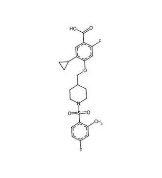 Cc1cc(F)ccc1S(=O)(=O)N1CCC(COc2cc(F)c(C(=O)O)cc2C2CC2)CC1